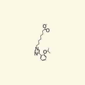 COC(=O)CCCCCCCn1cnc(-c2ccccc2OC(C)C)c1